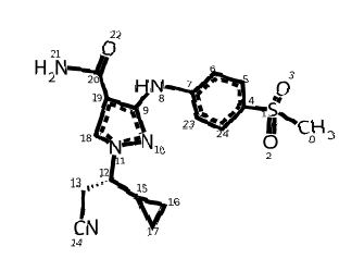 CS(=O)(=O)c1ccc(Nc2nn([C@@H](CC#N)C3CC3)cc2C(N)=O)cc1